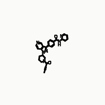 CC#CC(=O)N1CCC[C@@H](n2nc(-c3ccc(C(=O)Nc4ccccn4)cc3)c3cnccc32)C1